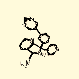 NC1NC(c2ccncc2)(c2cccc(-c3cncnc3)c2)c2ncccc21